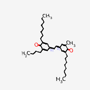 CCCCCCCCC1=C/C(=C\C=C2\C=C(CCCC)C(=O)C(CCCCCCCC)=C2)C=C(C)C1=O